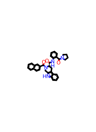 O=C(Nc1ccccc1C(=O)N1CCCC1)[C@H]1Cc2c([nH]c3ccccc23)CN1C(=O)c1ccc2ccccc2c1